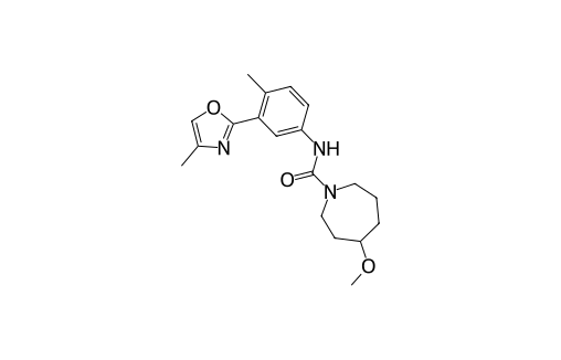 COC1CCCN(C(=O)Nc2ccc(C)c(-c3nc(C)co3)c2)CC1